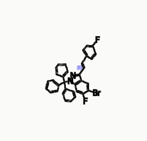 Fc1ccc(/C=C/c2nn(C(c3ccccc3)(c3ccccc3)c3ccccc3)c3cc(F)c(Br)cc23)cc1